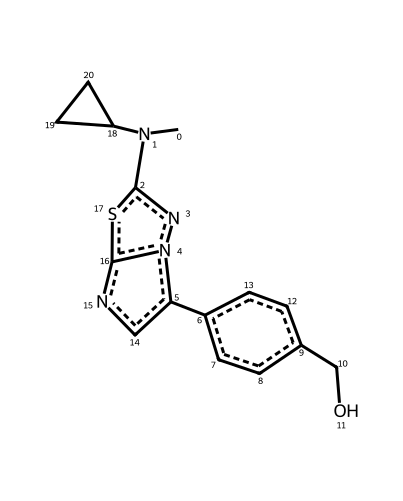 CN(c1nn2c(-c3ccc(CO)cc3)cnc2s1)C1CC1